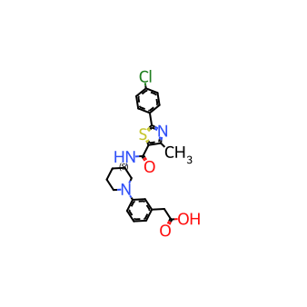 Cc1nc(-c2ccc(Cl)cc2)sc1C(=O)N[C@H]1CCCN(c2cccc(CC(=O)O)c2)C1